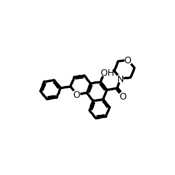 O=C(c1c(O)c2c(c3ccccc13)OC(c1ccccc1)C=C2)N1CCOCC1